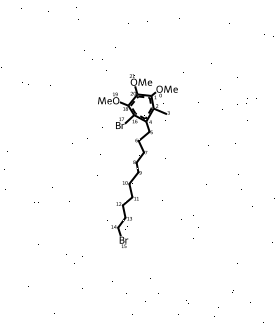 COc1c(C)c(CCCCCCCCCCBr)c(Br)c(OC)c1OC